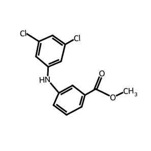 COC(=O)c1cccc(Nc2cc(Cl)cc(Cl)c2)c1